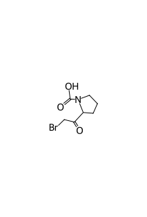 O=C(CBr)C1CCCN1C(=O)O